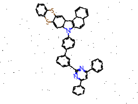 C1=CC2C=CC3=C(C2C=C1)C1C=C2Sc4ccccc4SC2=CC1N3c1ccc(-c2cccc(-c3nc(-c4ccccc4)cc(-c4ccccc4)n3)c2)cc1